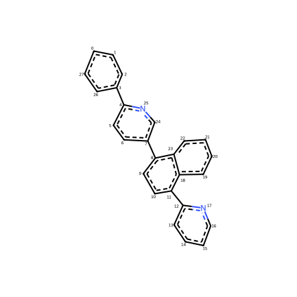 c1ccc(-c2ccc(-c3ccc(-c4ccccn4)c4ccccc34)cn2)cc1